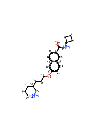 O=C(NC1CCC1)c1ccc2cc(OCCCC3CCCNC3)ccc2c1